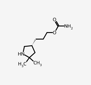 CC1(C)C[C@@H](CCCOC(N)=O)CN1